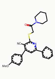 COc1ccc(-c2cc(-c3ccccc3)nc(SCC(=O)N3CCCCC3)c2C#N)cc1